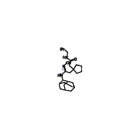 CC(C)CNC(=O)CC1(C/C(=N\C#N)NC2C3CC4CC(C3)CC2C4)CCCC1